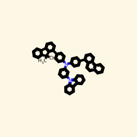 CC1(C)c2ccccc2-c2cccc(-c3ccc(N(c4ccc(-c5cccc6c5ccc5ccccc56)cc4)c4cccc(-n5c6ccccc6c6ccccc65)c4)cc3)c21